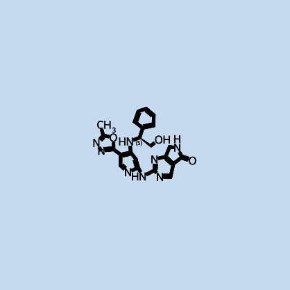 Cc1nnc(-c2cnc(Nc3ncc4c(n3)CNC4=O)cc2N[C@H](CO)c2ccccc2)o1